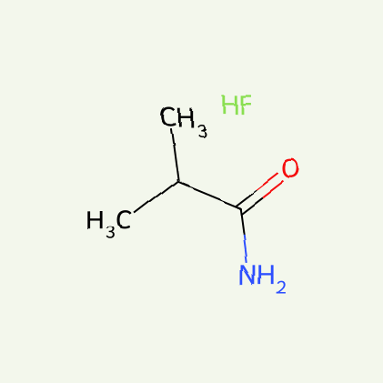 CC(C)C(N)=O.F